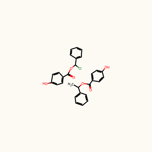 CC(OC(=O)c1ccc(O)cc1)c1ccccc1.O=C(OC(Cl)c1ccccc1)c1ccc(O)cc1